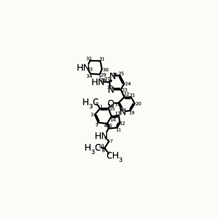 Cc1ccc2c(NCC(C)C)cccc2c1Oc1ncccc1-c1ccnc(N[C@H]2CCCNC2)n1